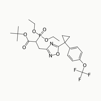 CCOP(=O)(OCC)C(Cc1noc(C2(c3ccc(OC(F)(F)F)cc3)CC2)n1)C(=O)OC(C)(C)C